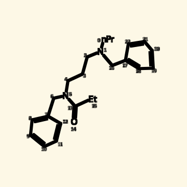 CCCN(CCCN(Cc1ccccc1)C(=O)CC)Cc1ccccc1